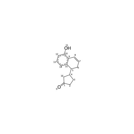 O=C1CCC(C2CC=Cc3c(O)cccc32)C1